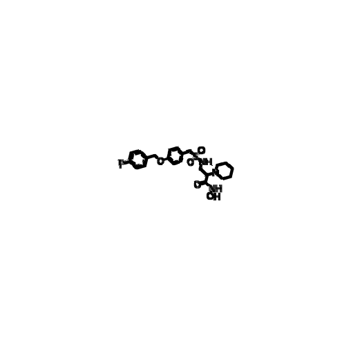 O=C(NO)C(CNS(=O)(=O)Cc1ccc(OCc2ccc(F)cc2)cc1)N1CCCCC1